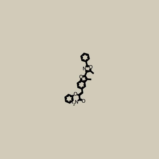 Cc1oc(-c2ccccc2)nc1-c1oc2ccc(C=C(Oc3ccccc3)C(N)=O)cc2c1C